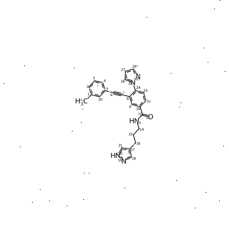 Cc1cccc(C#Cc2cc(C(=O)NCCCc3cn[nH]c3)ccc2-n2cccn2)c1